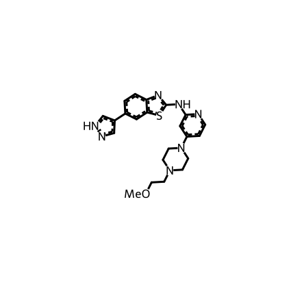 COCCN1CCN(c2ccnc(Nc3nc4ccc(-c5cn[nH]c5)cc4s3)c2)CC1